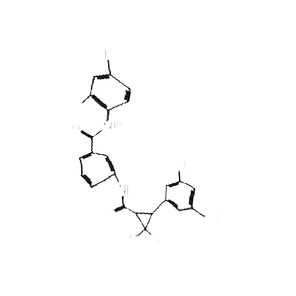 O=C(Nc1ccc(F)cc1F)c1cccc(NC(=O)C2C(c3cc(Cl)cc(Cl)c3)C2(Cl)Cl)c1